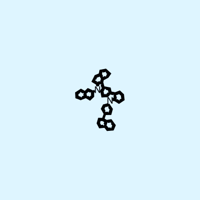 c1ccc2cc(-n3c4cc5c(cc4c4c6ccccc6ccc43)c3ccccc3n5-c3ccc(-c4cccc5ccccc45)cc3)ccc2c1